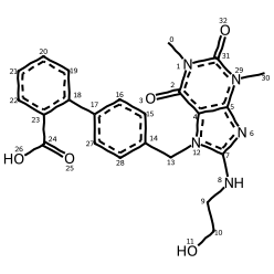 Cn1c(=O)c2c(nc(NCCO)n2Cc2ccc(-c3ccccc3C(=O)O)cc2)n(C)c1=O